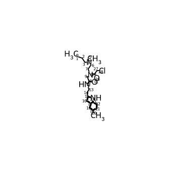 CCCCN(C)CCN(CC(=O)NCCc1cc2cc(C)ccc2[nH]1)C(=O)CCl